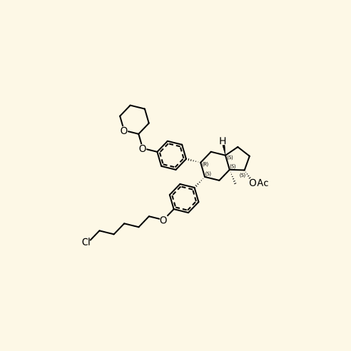 CC(=O)O[C@H]1CC[C@H]2C[C@@H](c3ccc(OC4CCCCO4)cc3)[C@@H](c3ccc(OCCCCCCl)cc3)C[C@@]21C